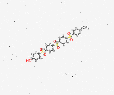 Cc1ccc(S(=O)(=O)c2ccc(S(=O)(=O)c3ccc(S(=O)(=O)c4ccc(O)cc4)cc3)cc2)cc1